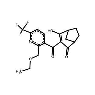 CCOCc1nc(C(F)(F)F)ccc1C(=O)C1=C(O)C2CCC(C2)C1=O